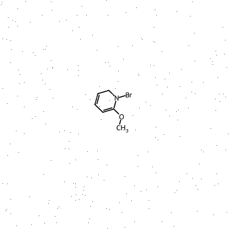 COC1=CC=CCN1Br